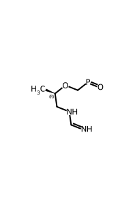 C[C@H](CNC=N)OCP=O